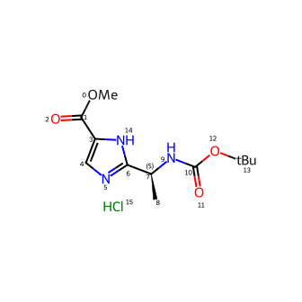 COC(=O)c1cnc([C@H](C)NC(=O)OC(C)(C)C)[nH]1.Cl